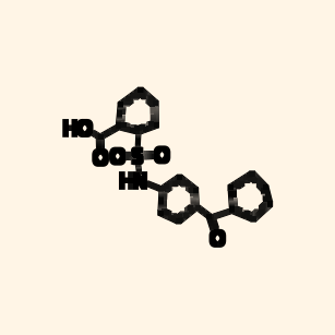 O=C(c1ccccc1)c1ccc(NS(=O)(=O)c2ccccc2C(=O)O)cc1